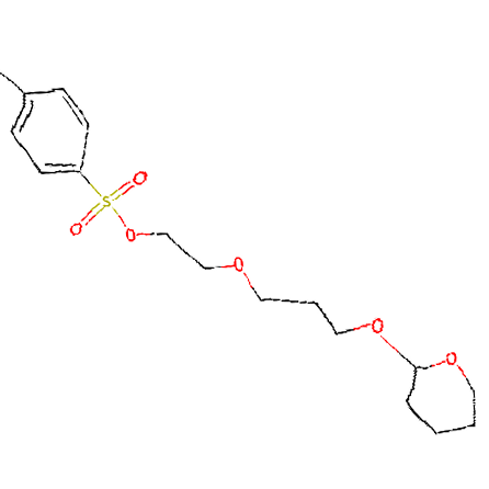 Cc1ccc(S(=O)(=O)OCCOCCCOC2CCCCO2)cc1